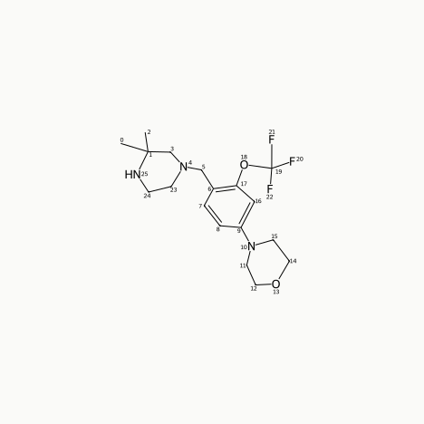 CC1(C)CN(Cc2ccc(N3CCOCC3)cc2OC(F)(F)F)CCN1